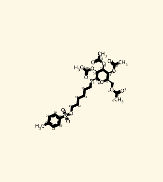 CC(=O)OC[C@H]1O[C@@H](SCCCCCCOS(=O)(=O)c2ccc(C)cc2)[C@H](OC(C)=O)[C@@H](OC(C)=O)[C@H]1OC(C)=O